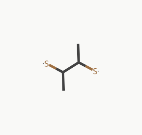 CC([S])C(C)[S]